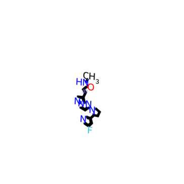 CCNC(=O)/C=C/c1cnn2ccc(N3CCCC3c3cncc(F)c3)nc12